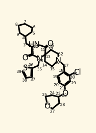 O=C1C(CC2CCCCC2)NC(=O)C2(CCN(Cc3ccc(OC4CCOCC4)cc3Cl)CC2)N1Cc1cccs1